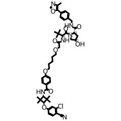 Cc1ncoc1-c1ccc(CNC(=O)[C@@H]2C[C@@H](O)CN2C(=O)[C@@H](NC(=O)COCCCCCOc2ccc(C(=O)N[C@H]3C(C)(C)[C@H](Oc4ccc(C#N)c(Cl)c4)C3(C)C)cc2)C(C)(C)C)cc1